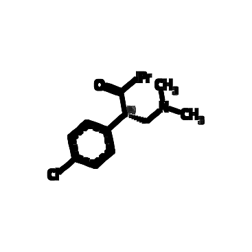 CC(C)C(=O)[C@H](CN(C)C)c1ccc(Cl)cc1